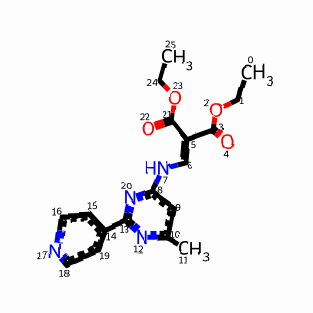 CCOC(=O)C(=CNc1cc(C)nc(-c2ccncc2)n1)C(=O)OCC